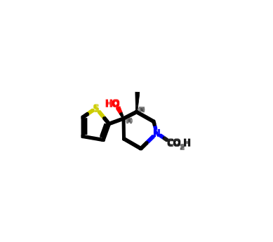 C[C@H]1CN(C(=O)O)CC[C@]1(O)c1cccs1